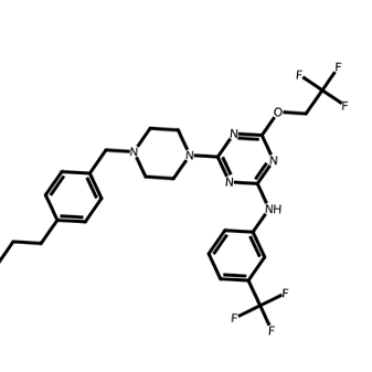 CCCc1ccc(CN2CCN(c3nc(Nc4cccc(C(F)(F)F)c4)nc(OCC(F)(F)F)n3)CC2)cc1